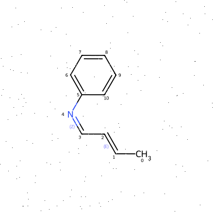 C/C=C/C=N\c1ccccc1